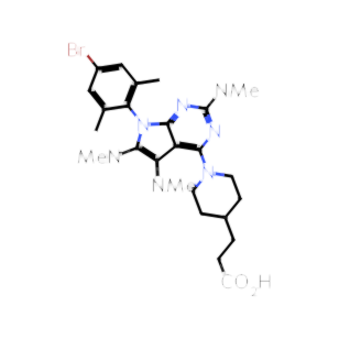 CNc1nc(N2CCC(CCC(=O)O)CC2)c2c(NC)c(NC)n(-c3c(C)cc(Br)cc3C)c2n1